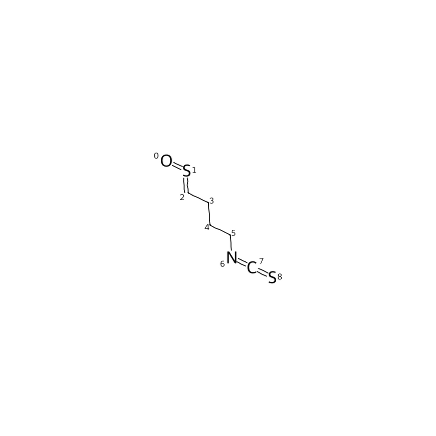 O=S=CCCCN=C=S